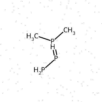 C[PH](C)=PP